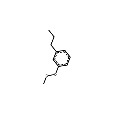 CCCc1cccc(OOC)c1